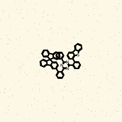 c1ccc(-c2nc(-c3ccccc3-c3ccc4c(c3)-c3ccccc3C43c4ccccc4-c4ccccc43)nc(-c3ccccc3-c3cccc4c3sc3ccccc34)n2)cc1